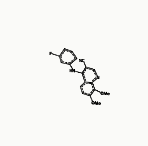 COc1ccc2c(Nc3cccc(F)c3)c(C#N)cnc2c1OC